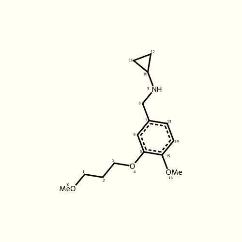 COCCCOc1cc(CNC2CC2)ccc1OC